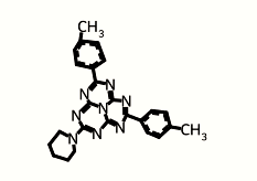 Cc1ccc(C2=NC3=NC(c4ccc(C)cc4)=NC4=NC(N5CCCCC5)=NC(=N2)N34)cc1